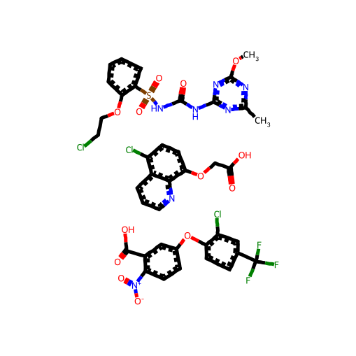 COc1nc(C)nc(NC(=O)NS(=O)(=O)c2ccccc2OCCCl)n1.O=C(O)COc1ccc(Cl)c2cccnc12.O=C(O)c1cc(Oc2ccc(C(F)(F)F)cc2Cl)ccc1[N+](=O)[O-]